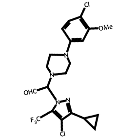 COc1cc(N2CCN(C(C=O)n3nc(C4CC4)c(Cl)c3C(F)(F)F)CC2)ccc1Cl